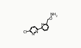 NOCc1cccc(-c2ccc(Cl)nn2)n1